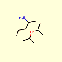 CC(C)OC(C)C.CCCC(C)N